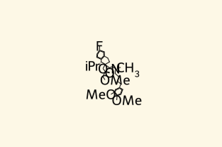 COCC(=O)O[C@@]1(CCN(C)CCCCc2ccc(OC)c(OC)c2)CCc2cc(F)ccc2[C@H]1C(C)C